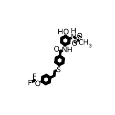 CS(=O)(=O)Nc1cc(NC(=O)c2ccc(SCCc3ccc(OC(F)F)cc3)cc2)ccc1O